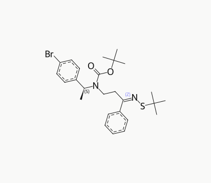 C[C@@H](c1ccc(Br)cc1)N(CC/C(=N/SC(C)(C)C)c1ccccc1)C(=O)OC(C)(C)C